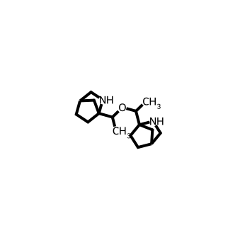 CC(OC(C)C12CCC(CN1)C2)C12CCC(CN1)C2